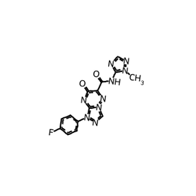 Cn1ncnc1NC(=O)c1nn2cnn(-c3ccc(F)cc3)c2nc1=O